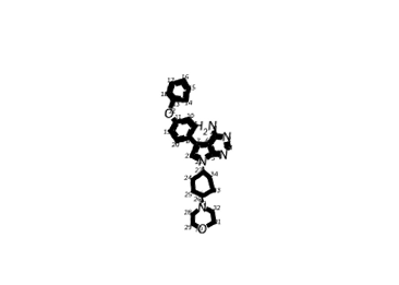 Nc1ncnc2c1c(-c1ccc(Oc3ccccc3)cc1)cn2[C@H]1CC[C@H](N2CCOCC2)CC1